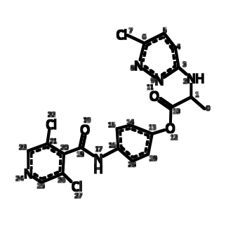 CC(Nc1ccc(Cl)nn1)C(=O)Oc1ccc(NC(=O)c2c(Cl)cncc2Cl)cc1